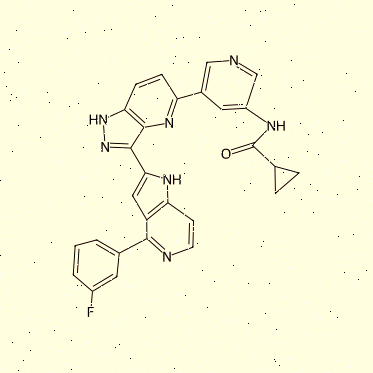 O=C(Nc1cncc(-c2ccc3[nH]nc(-c4cc5c(-c6cccc(F)c6)nccc5[nH]4)c3n2)c1)C1CC1